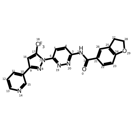 O=C(Nc1ccc(-n2nc(-c3cccnc3)cc2C(F)(F)F)nn1)c1ccc2c(c1)CCO2